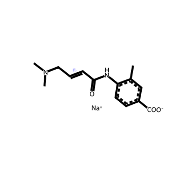 Cc1cc(C(=O)[O-])ccc1NC(=O)/C=C/CN(C)C.[Na+]